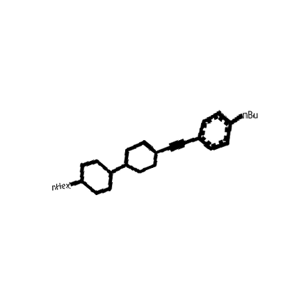 CCCCCCC1CCC(C2CCC(C#Cc3ccc(CCCC)cc3)CC2)CC1